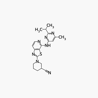 Cc1cc(Nc2nccc3nc(N4CCCC(C#N)C4)sc23)nc(C(C)C)n1